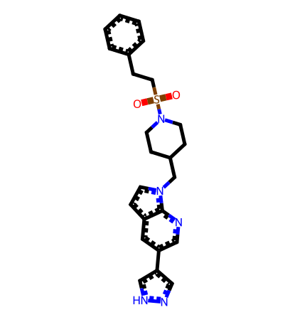 O=S(=O)(CCc1ccccc1)N1CCC(Cn2ccc3cc(-c4cn[nH]c4)cnc32)CC1